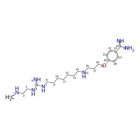 CNCCNC(=N)NCCCCCCCNCCCOc1ccc(C(=N)N)cc1